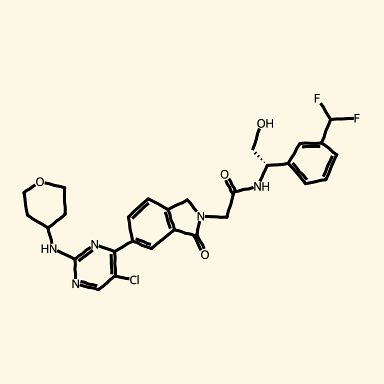 O=C(CN1Cc2ccc(-c3nc(NC4CCOCC4)ncc3Cl)cc2C1=O)N[C@H](CO)c1cccc(C(F)F)c1